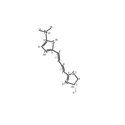 C[C@H]1CSC(/C=C/C=C/c2ncc(N(C)C)s2)=N1